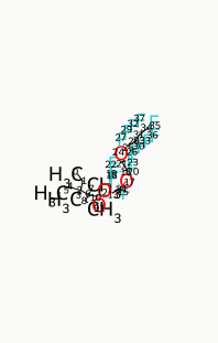 CCC(C)(CC)C(C)(CC)C(=O)OCC(F)(F)OC(F)(F)C(F)(F)OC(F)(F)C(F)(F)C(F)(F)C(F)(F)F